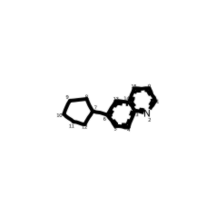 c1cnc2ccc(C3CCCCC3)cc2c1